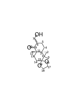 CC12C[C@]13CC/C(=C\O)C(=O)[C@@]3(C)CCC21OCCO1